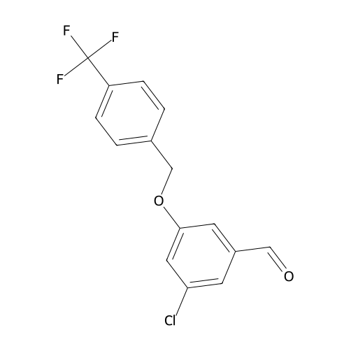 O=Cc1cc(Cl)cc(OCc2ccc(C(F)(F)F)cc2)c1